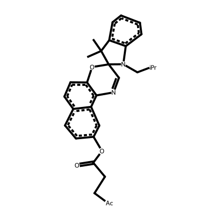 CC(=O)CCC(=O)Oc1ccc2ccc3c(c2c1)N=CC1(O3)N(CC(C)C)c2ccccc2C1(C)C